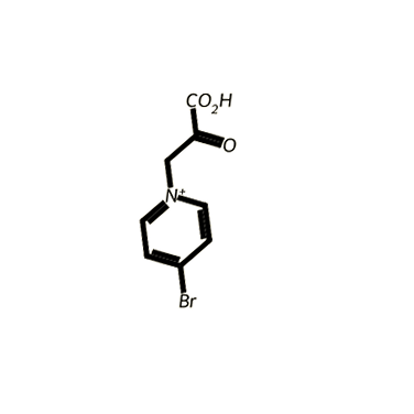 O=C(O)C(=O)C[n+]1ccc(Br)cc1